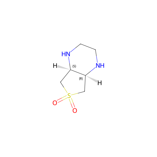 O=S1(=O)C[C@@H]2NCCN[C@@H]2C1